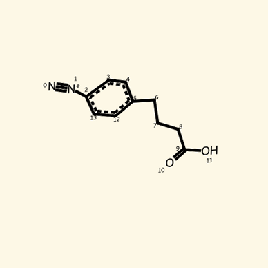 N#[N+]c1ccc(CCCC(=O)O)cc1